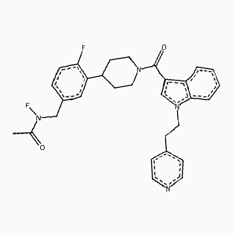 CC(=O)N(F)Cc1ccc(F)c(C2CCN(C(=O)c3cn(CCc4ccncc4)c4ccccc34)CC2)c1